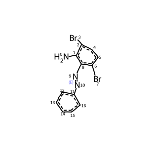 Nc1c(Br)ccc(Br)c1/N=N/c1ccccc1